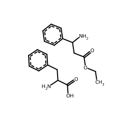 CCOC(=O)CC(N)c1ccccc1.NC(Cc1ccccc1)C(=O)O